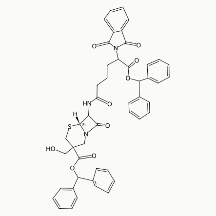 O=C(CCCC(C(=O)OC(c1ccccc1)c1ccccc1)N1C(=O)c2ccccc2C1=O)NC1C(=O)N2CC(CO)(C(=O)OC(c3ccccc3)c3ccccc3)CS[C@H]12